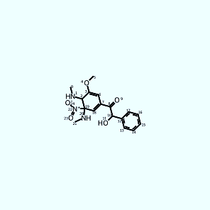 CNC1C(OC)=CC(C(=O)C(O)c2ccccc2)=CC1(NC)[N+](=O)[O-]